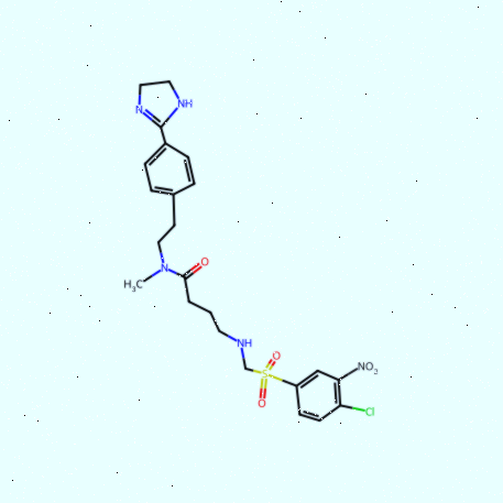 CN(CCc1ccc(C2=NCCN2)cc1)C(=O)CCCNCS(=O)(=O)c1ccc(Cl)c([N+](=O)[O-])c1